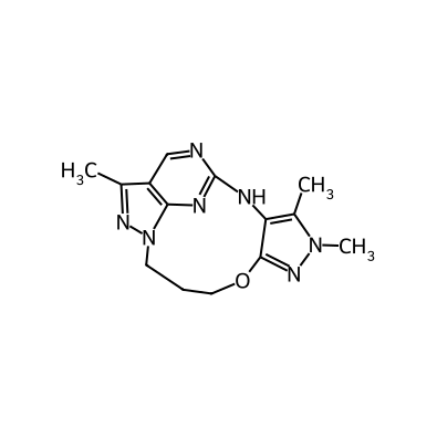 Cc1nn2c3nc(ncc13)Nc1c(nn(C)c1C)OCCC2